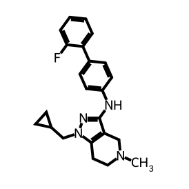 CN1CCc2c(c(Nc3ccc(-c4ccccc4F)cc3)nn2CC2CC2)C1